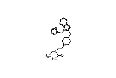 CCN(CCN1CCC(Cc2nc3cccnc3n2Cc2cccs2)CC1)C(=O)O